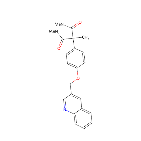 CNC(=O)C(C)(C(=O)NC)c1ccc(OCc2cnc3ccccc3c2)cc1